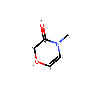 CN1C=COCC1=O